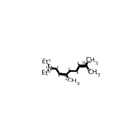 CCN(CC)CC=C(C)CCC=C(C)C